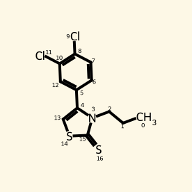 CCCn1c(-c2ccc(Cl)c(Cl)c2)csc1=S